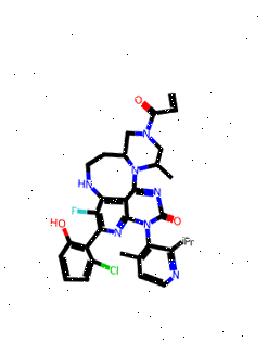 C=CC(=O)N1CC(C)N2c3nc(=O)n(-c4c(C)ccnc4C(C)C)c4nc(-c5c(O)cccc5Cl)c(F)c(c34)NCCC2C1